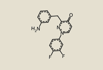 Nc1cccc(Cc2nn(-c3ccc(F)c(F)c3)ccc2=O)c1